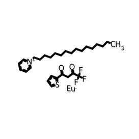 CCCCCCCCCCCCCCCC[n+]1ccccc1.O=C(CC(=O)C(F)(F)F)c1cccs1.[Eu]